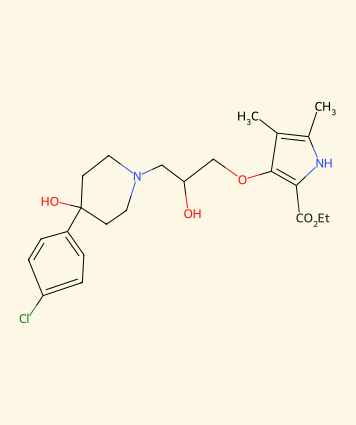 CCOC(=O)c1[nH]c(C)c(C)c1OCC(O)CN1CCC(O)(c2ccc(Cl)cc2)CC1